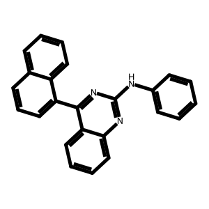 c1ccc(Nc2nc(-c3cccc4ccccc34)c3ccccc3n2)cc1